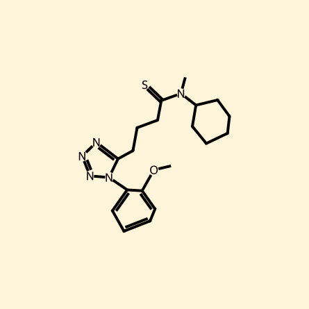 COc1ccccc1-n1nnnc1CCCC(=S)N(C)C1CCCCC1